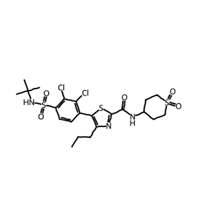 CCCc1nc(C(=O)NC2CCS(=O)(=O)CC2)sc1-c1ccc(S(=O)(=O)NC(C)(C)C)c(Cl)c1Cl